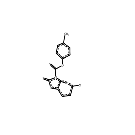 Cc1ccc(OC(=S)n2c(=S)oc3ccc(Cl)cc32)cc1